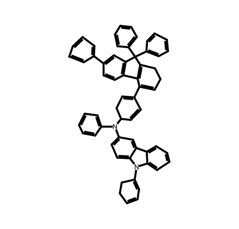 C1=CCCC(n2c3ccccc3c3cc(N(c4ccccc4)C4C=CC(C5=CCCC6=C5c5ccc(-c7ccccc7)cc5C6(c5ccccc5)c5ccccc5)=CC4)ccc32)=C1